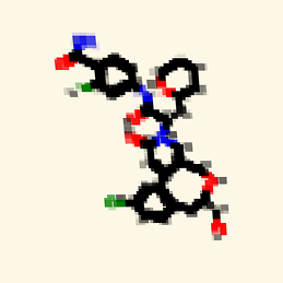 NC(=O)c1ccc(NC(=O)[C@H](C[C@@H]2CCCCO2)n2cc3c(cc2=O)-c2cc(Cl)ccc2C[C@@H](CO)OC3)cc1F